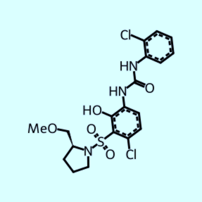 COC[C@@H]1CCCN1S(=O)(=O)c1c(Cl)ccc(NC(=O)Nc2ccccc2Cl)c1O